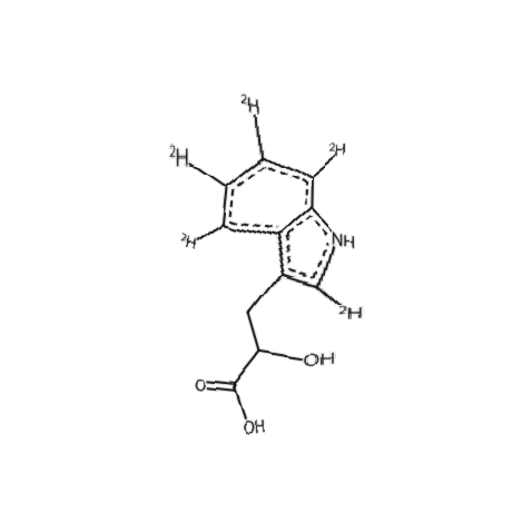 [2H]c1[nH]c2c([2H])c([2H])c([2H])c([2H])c2c1CC(O)C(=O)O